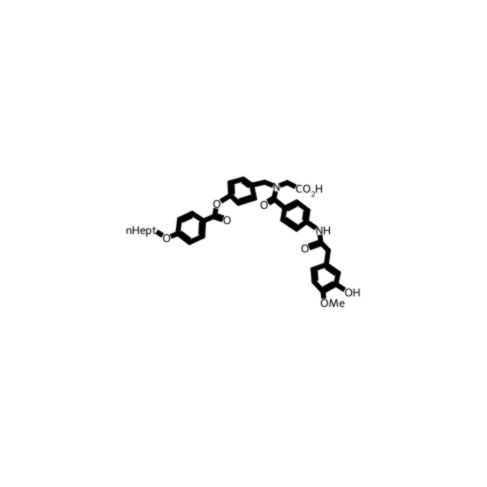 CCCCCCCOc1ccc(C(=O)Oc2ccc(CN(CC(=O)O)C(=O)c3ccc(NC(=O)Cc4ccc(OC)c(O)c4)cc3)cc2)cc1